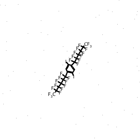 FC(F)(F)C(F)(F)C(F)(F)C(F)(F)C(F)(F)C(F)(F)c1cc(I)c(C(F)(F)C(F)(F)C(F)(F)C(F)(F)C(F)(F)C(F)(F)F)cc1I